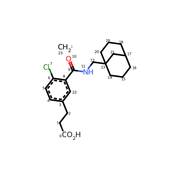 O=C(O)CCc1ccc(Cl)c(C(=O)NCC23CCCC(CCC2)C3)c1.[CH2]